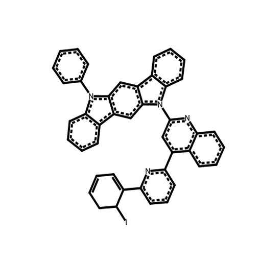 IC1CC=CC=C1c1cccc(-c2cc(-n3c4ccccc4c4cc5c(cc43)c3ccccc3n5-c3ccccc3)nc3ccccc23)n1